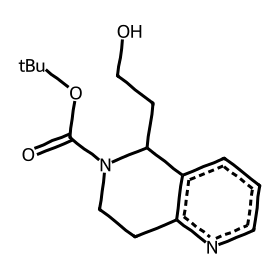 CC(C)(C)OC(=O)N1CCc2ncccc2C1CCO